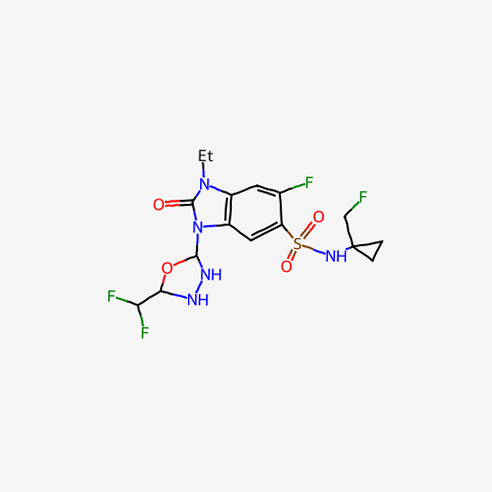 CCn1c(=O)n(C2NNC(C(F)F)O2)c2cc(S(=O)(=O)NC3(CF)CC3)c(F)cc21